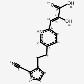 N#Cc1sccc1CCc1ccc(/C=C(\O)C(=O)O)nc1